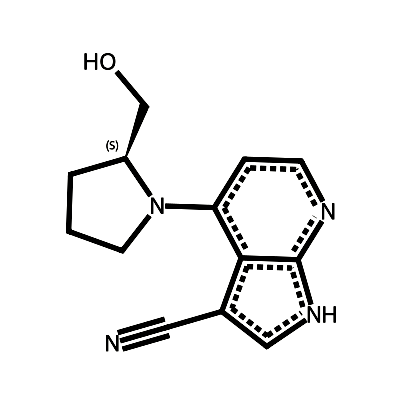 N#Cc1c[nH]c2nccc(N3CCC[C@H]3CO)c12